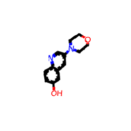 Oc1ccc2ncc(N3CCOCC3)cc2c1